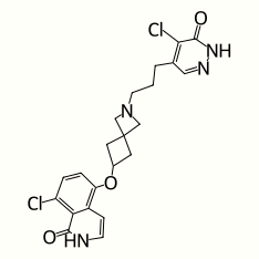 O=c1[nH]ncc(CCCN2CC3(CC(Oc4ccc(Cl)c5c(=O)[nH]ccc45)C3)C2)c1Cl